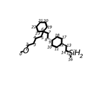 COCCCCC1(CC[C@H]2CC[C@H](CC[SiH2]C)CC2)CCCCC1